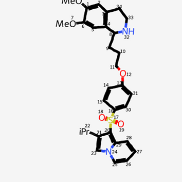 COc1cc2c(cc1OC)C(CCCOc1ccc(S(=O)(=O)c3c(C(C)C)cn4ccccc34)cc1)NCC2